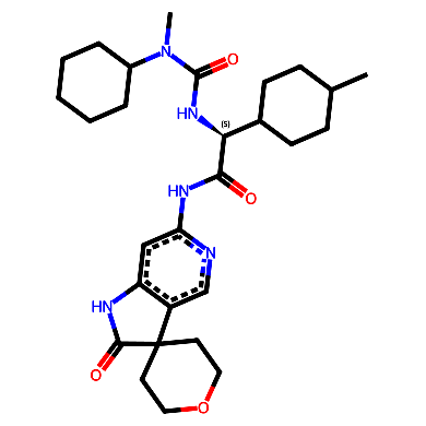 CC1CCC([C@H](NC(=O)N(C)C2CCCCC2)C(=O)Nc2cc3c(cn2)C2(CCOCC2)C(=O)N3)CC1